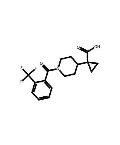 O=C(c1ccccc1C(F)(F)F)N1CCC(C2(C(=O)O)CC2)CC1